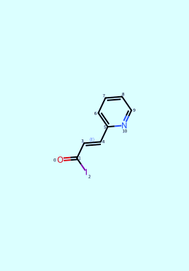 O=C(I)/C=C/c1ccccn1